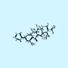 C=C1C2=C(O)[C@@]3(O)C(=O)C(C(C)=O)=C(C)C[C@@]3(C)[C@H](C)[C@@]2(C)[C@H](C)c2cc(-c3ccccc3)cc(O)c21